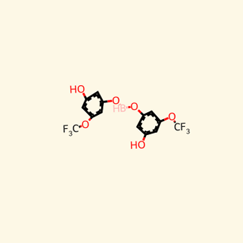 Oc1cc(OBOc2cc(O)cc(OC(F)(F)F)c2)cc(OC(F)(F)F)c1